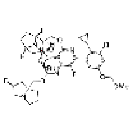 COCOc1cc(Cl)c(C2CC2)c(-c2nc3c4c(nc(OC[C@]56CCCN5C[C@@H](F)C6)nc4c2F)N2C[C@@H]4CC[C@H]([C@H]2CO3)N4C(=O)OC(C)(C)C)c1